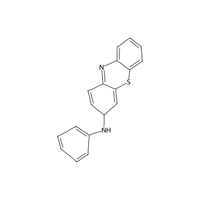 C1=CC(Nc2ccccc2)C=C2Sc3ccccc3N=C12